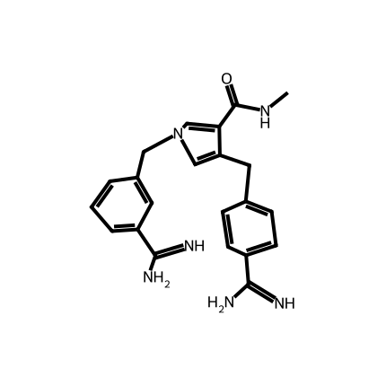 CNC(=O)c1cn(Cc2cccc(C(=N)N)c2)cc1Cc1ccc(C(=N)N)cc1